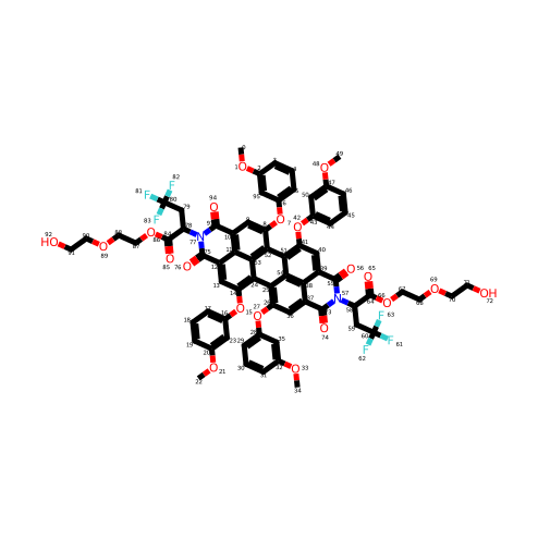 COc1cccc(Oc2cc3c4c(cc(Oc5cccc(OC)c5)c5c6c(Oc7cccc(OC)c7)cc7c8c(cc(Oc9cccc(OC)c9)c(c2c45)c86)C(=O)N(C(CC(F)(F)F)C(=O)OCCOCCO)C7=O)C(=O)N(C(CC(F)(F)F)C(=O)OCCOCCO)C3=O)c1